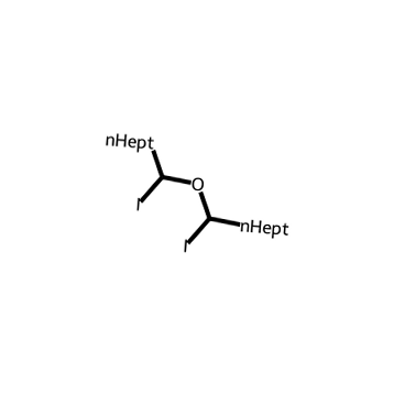 CCCCCCCC(I)OC(I)CCCCCCC